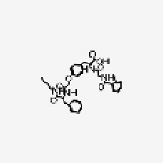 CCCCNC(=O)C(Cc1ccccc1)NC(=O)COc1ccc(CC(NC(=O)CNC(=O)c2ccccc2C)C(=O)O)cc1